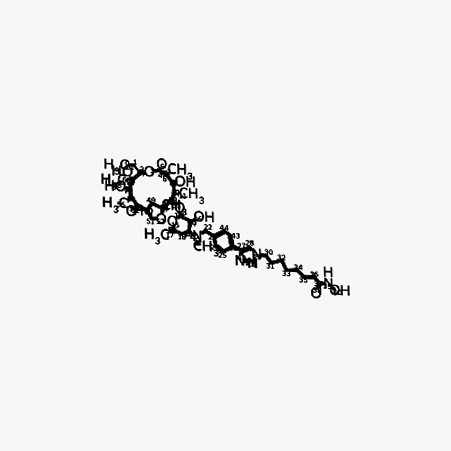 CC[C@H]1OC(=O)[C@H](C)[C@@H](O)[C@H](C)[C@@H](O[C@@H]2O[C@H](C)C[C@H](N(C)Cc3ccc(-c4cn(CCCCCCCC(=O)NO)nn4)cc3)[C@H]2O)[C@@]2(C)C[C@@H](CO2)C(=O)[C@H](C)[C@@H](O)[C@]1(C)O